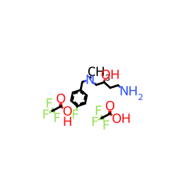 CN(Cc1ccc(F)cc1)CC(O)CCN.O=C(O)C(F)(F)F.O=C(O)C(F)(F)F